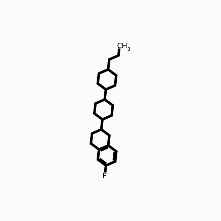 CCCC1CCC(C2CCC(C3CCc4cc(F)ccc4C3)CC2)CC1